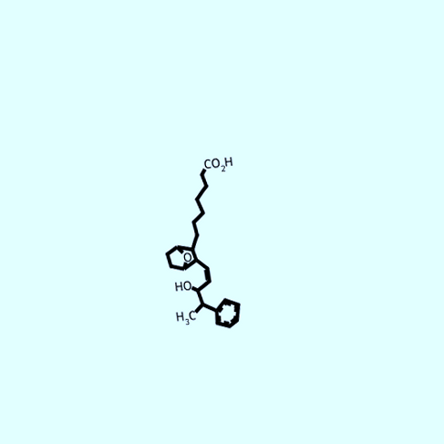 CC(c1ccccc1)C(O)/C=C\C1C2CCC(O2)C1CCCCCCC(=O)O